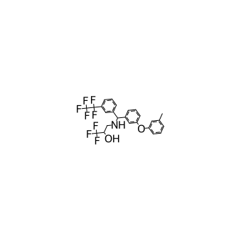 Cc1cccc(Oc2cccc(C(NCC(O)C(F)(F)F)c3cccc(C(F)(F)C(F)(F)F)c3)c2)c1